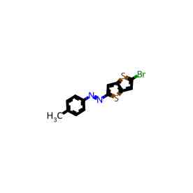 Cc1ccc(N=Nc2cc3sc(Br)cc3s2)cc1